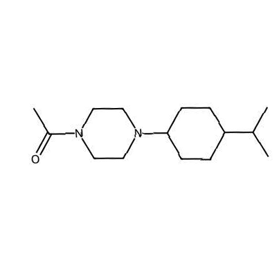 CC(=O)N1CCN(C2CCC(C(C)C)CC2)CC1